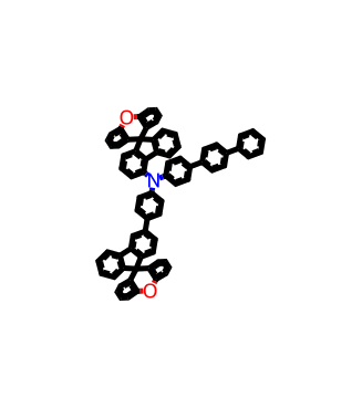 c1ccc(-c2ccc(-c3ccc(N(c4ccc(-c5ccc6c(c5)-c5ccccc5C65c6ccccc6Oc6ccccc65)cc4)c4cccc5c4-c4ccccc4C54c5ccccc5Oc5ccccc54)cc3)cc2)cc1